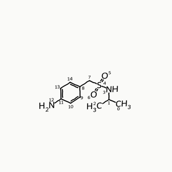 CC(C)NS(=O)(=O)Cc1ccc(N)cc1